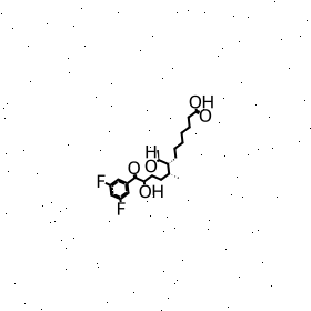 C[C@H](O)[C@H](CCCCCCC(=O)O)[C@H](C)CCC(O)C(=O)c1cc(F)cc(F)c1